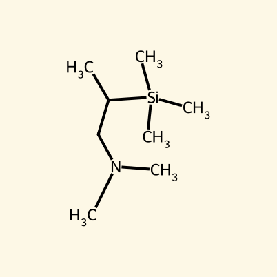 CC(CN(C)C)[Si](C)(C)C